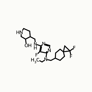 CCN(CC1CCC2(CC1)CC2(F)F)c1ncnc(NCC2CCNCC2O)c1F